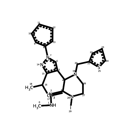 CN/N=C1/C(c2cn(-c3ccccc3)nc2C(C)C)N(Cc2cccs2)CCN1I